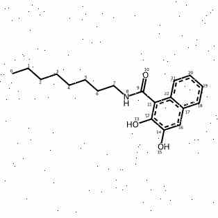 CCCCCCCCNC(=O)c1c(O)c(O)cc2ccccc12